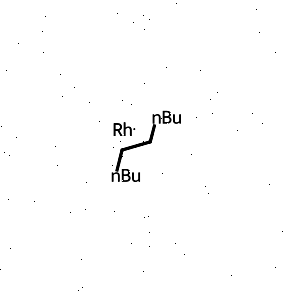 [CH2-]CCCCCCCCC.[Rh]